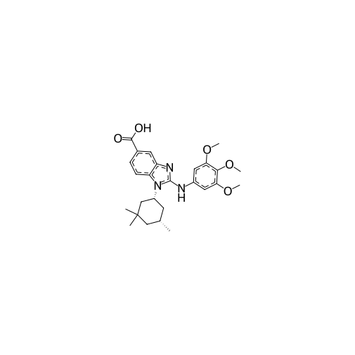 COc1cc(Nc2nc3cc(C(=O)O)ccc3n2[C@@H]2C[C@H](C)CC(C)(C)C2)cc(OC)c1OC